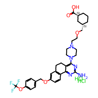 Cl.Cl.Nc1nc2c(c(N3CCN(CCOC[C@H]4CCC[C@H](C(=O)O)C4)CC3)n1)CCc1cc(OCc3ccc(OC(F)(F)F)cc3)ccc1-2